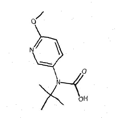 COc1ccc(N(C(=O)O)C(C)(C)C)cn1